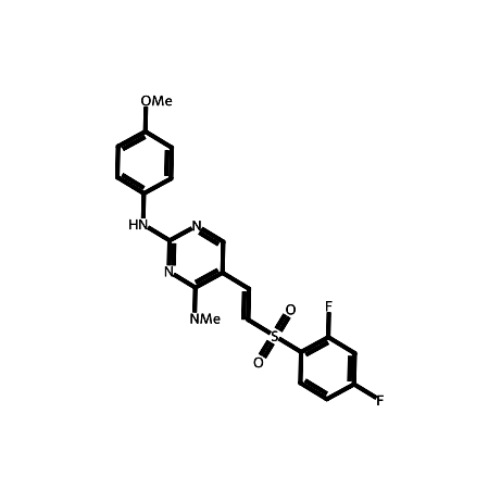 CNc1nc(Nc2ccc(OC)cc2)ncc1/C=C/S(=O)(=O)c1ccc(F)cc1F